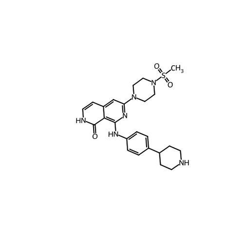 CS(=O)(=O)N1CCN(c2cc3cc[nH]c(=O)c3c(Nc3ccc(C4CCNCC4)cc3)n2)CC1